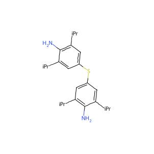 CC(C)c1cc(Sc2cc(C(C)C)c(N)c(C(C)C)c2)cc(C(C)C)c1N